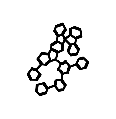 c1ccc(-c2cccc(-c3nc(-c4ccccc4)nc(-n4c5cc(-c6ccccc6)ccc5c5cc6c(cc54)C4(c5ccccc5-c5ccccc54)c4ccccc4-6)n3)c2)cc1